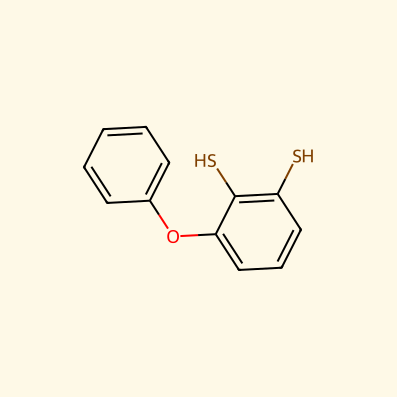 Sc1cccc(Oc2ccccc2)c1S